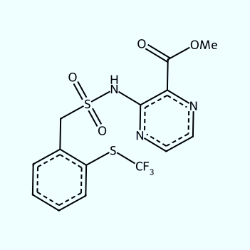 COC(=O)c1nccnc1NS(=O)(=O)Cc1ccccc1SC(F)(F)F